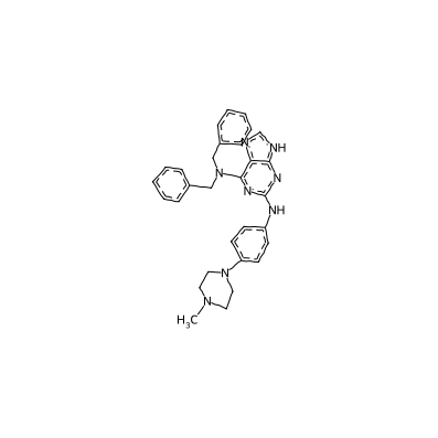 CN1CCN(c2ccc(Nc3nc(N(Cc4ccccc4)Cc4ccccc4)c4nc[nH]c4n3)cc2)CC1